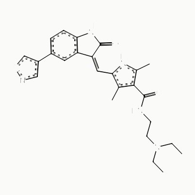 CCN(CC)CCNC(=O)c1c(C)[nH]c(/C=C2\C(=O)Nc3ccc(-c4cnsc4)cc32)c1C